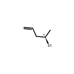 [CH]=CC[C@@H](C)CC